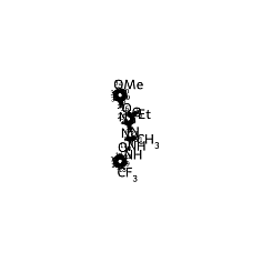 CCOc1cc(-c2ncc(NC(=O)Nc3cccc(C(F)(F)F)c3)c(C)n2)cnc1OCc1ccc(OC)cc1